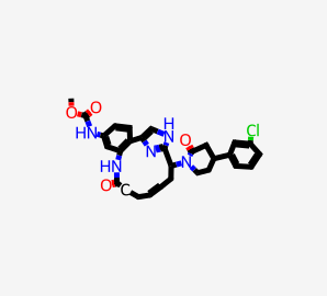 COC(=O)Nc1ccc2c(c1)NC(=O)CC/C=C/CC(N1CCC(c3cccc(Cl)c3)CC1=O)c1nc-2c[nH]1